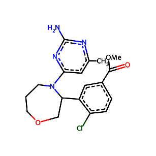 COC(=O)c1ccc(Cl)c(C2COCCCN2c2cc(C)nc(N)n2)c1